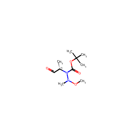 CON(C)N(C(=O)OC(C)(C)C)[C@@H](C)C=O